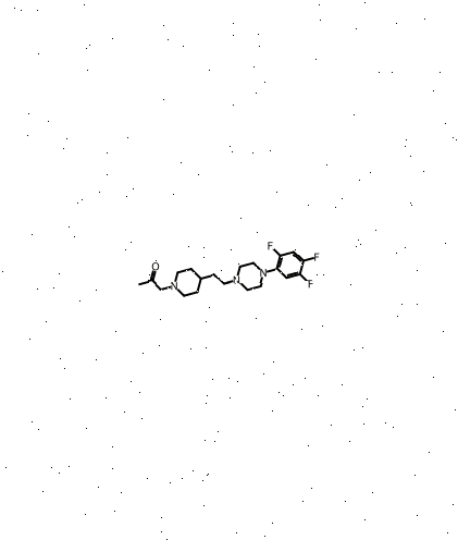 CC(=O)CN1CCC(CCN2CCN(c3cc(F)c(F)cc3F)CC2)CC1